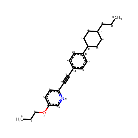 CCCOc1ccc(C#Cc2ccc(C3CCC(CCC)CC3)cc2)nc1